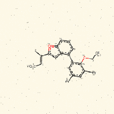 CC(=CC(=O)O)c1cc2c(-c3cc(C(C)C)cc(C(C)C)c3OCC(F)(F)F)cccc2o1